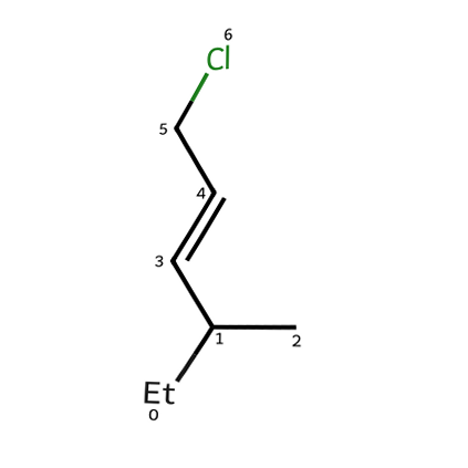 CCC(C)C=CCCl